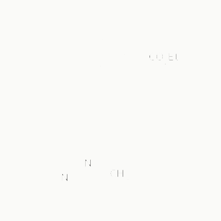 CCOC(=O)C1CC1c1ccc2cnn(C)c2c1